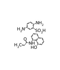 C=CC(=O)Nc1cccc2cccc(O)c12.Nc1ccc(N)c(S(=O)(=O)O)c1